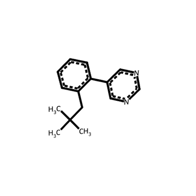 CC(C)(C)Cc1ccccc1-c1cncnc1